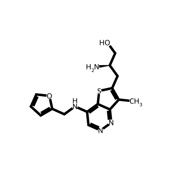 Cc1c(C[C@@H](N)CO)sc2c(NCc3ccco3)cnnc12